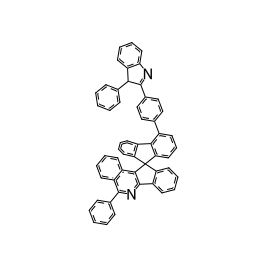 c1ccc(-c2nc3c(c4ccccc24)C2(c4ccccc4-3)c3ccccc3-c3c(-c4ccc(C5=Nc6ccccc6C5c5ccccc5)cc4)cccc32)cc1